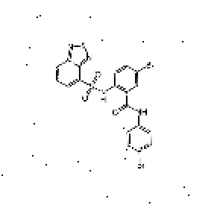 O=C(Nc1ccc(Br)cc1)c1cc(Br)ccc1NS(=O)(=O)c1cccc2nsnc12